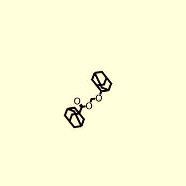 O=C(OCOC1C2CC3CC(C2)CC1C3)C12CC3CC(CC(C3)C1)C2